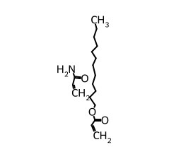 C=CC(=O)OCCCCCCCCCCCC.C=CC(N)=O